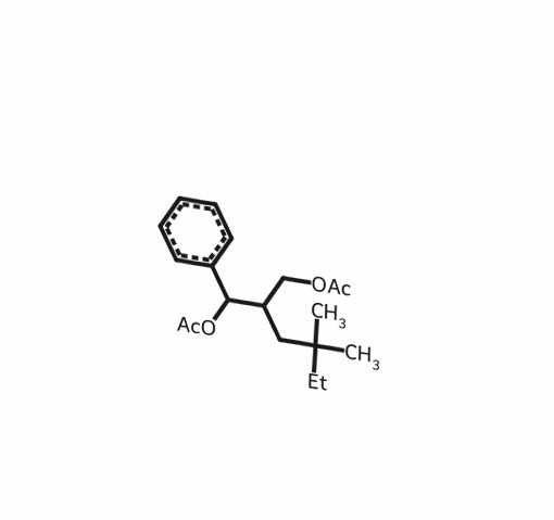 CCC(C)(C)CC(COC(C)=O)C(OC(C)=O)c1ccccc1